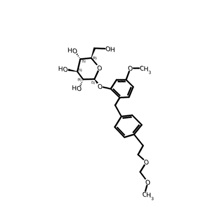 COCOCCc1ccc(Cc2ccc(OC)cc2O[C@@H]2O[C@H](CO)[C@@H](O)[C@H](O)[C@H]2O)cc1